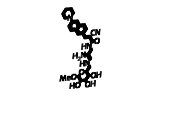 COC1OC(CN/C=C(\N)CNC(=O)/C(C#N)=C/c2ccc3cc(N4CCCCC4)ccc3c2)C(O)C(O)C1O